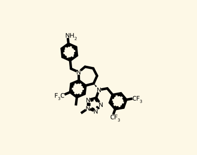 Cc1cc2c(cc1C(F)(F)F)N(Cc1ccc(N)cc1)CCC[C@@H]2N(Cc1cc(C(F)(F)F)cc(C(F)(F)F)c1)c1nnn(C)n1